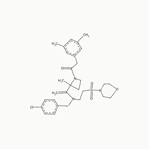 C=C(N(CCS(=O)(=O)N1CCOCC1)Cc1ccc(Cl)cc1)C1(C)CCN1C(=O)Cc1cc(C)cc(C)c1